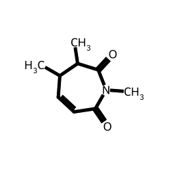 CC1C=CC(=O)N(C)C(=O)C1C